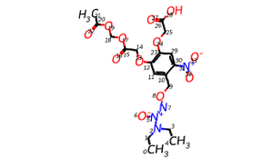 CCN(CC)[N+]([O-])=NOCc1cc(OCC(=O)OCOC(C)=O)c(OCC(=O)O)cc1[N+](=O)[O-]